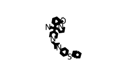 COC(=O)N1CCCC1C(C#N)(c1ccccc1)C1CCN(CC2CN(c3ccc(SC4CC5CCC4C5)cc3)C2)CC1